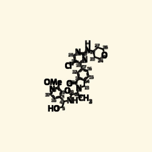 COc1cc(C(CO)NC(=O)C(C)N2Cc3ccc(-c4nc(NC5CCOCC5)ncc4Cl)cc3C2=O)ccn1